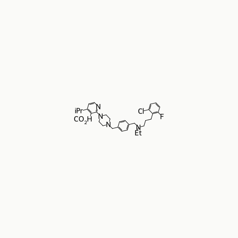 CCN(CCCc1c(F)cccc1Cl)Cc1ccc(CN2CCN(c3nccc(C(C)C)c3C(=O)O)CC2)cc1